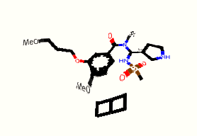 C1CC2CCC12.COCCCOc1cc(C(=O)N(C(C)C)C(NS(C)(=O)=O)[C@H]2CCNC2)ccc1OC